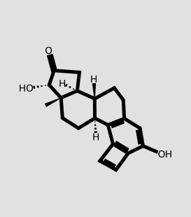 C[C@]12CC[C@@H]3c4c(cc(O)c5c4C=C5)CC[C@H]3[C@@H]1CC(=O)[C@H]2O